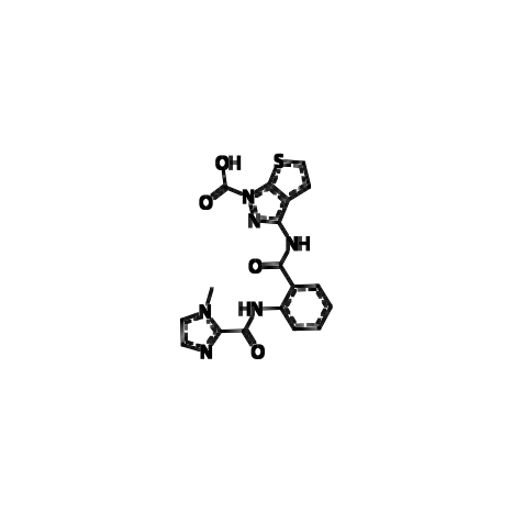 Cn1ccnc1C(=O)Nc1ccccc1C(=O)Nc1nn(C(=O)O)c2sccc12